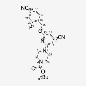 CC(C)(C)OC(=O)N1CCN(c2cc(C#N)cc(OCc3ccc(C#N)cc3F)n2)CC1